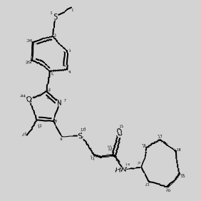 CSc1ccc(-c2nc(CSCC(=O)NC3CCCCCC3)c(C)o2)cc1